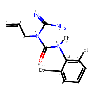 C=CCN(C(=N)N)C(=O)N(CC)c1c(CC)cccc1CC